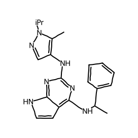 Cc1c(Nc2nc(NC(C)c3ccccc3)c3cc[nH]c3n2)cnn1C(C)C